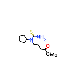 COC(=O)CCCN(C(N)=S)C1CCCC1